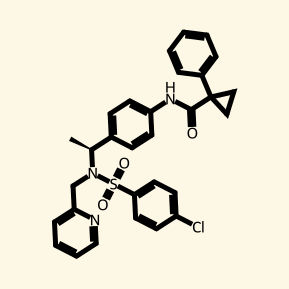 C[C@@H](c1ccc(NC(=O)C2(c3ccccc3)CC2)cc1)N(Cc1ccccn1)S(=O)(=O)c1ccc(Cl)cc1